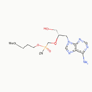 COCCCOP(=O)(CO[C@H](CO)Cn1cnc2c(N)ncnc21)N=O